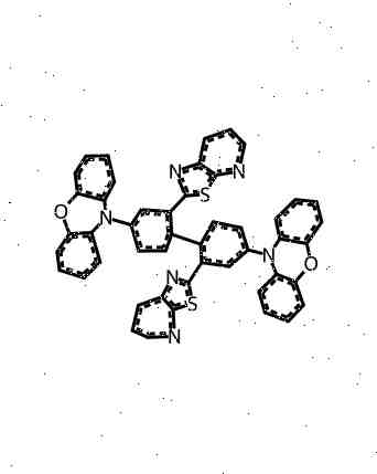 c1ccc2c(c1)Oc1ccccc1N2c1ccc(-c2ccc(N3c4ccccc4Oc4ccccc43)cc2-c2nc3cccnc3s2)c(-c2nc3cccnc3s2)c1